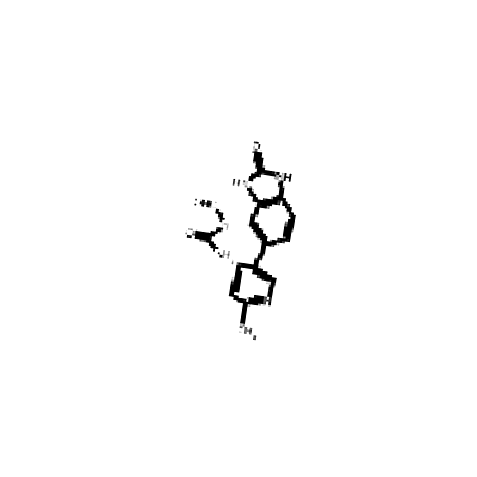 Cc1ccc(-c2ccc3[nH]c(=O)[nH]c3c2)cn1.NC(=O)NC=O